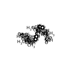 CC(C)OC(=O)C(C)NP(=O)(OC[C@@]1(F)O[C@@H](n2ccc(=O)[nH]c2=O)[C@](C)(F)[C@@H]1O)Oc1ccc2ccc(CC(NP(=O)(OC[C@@]3(F)OC(=Cn4ccc(=O)[nH]c4=O)[C@](C)(F)[C@@H]3O)Oc3cccc4ccccc34)C(=O)OC(C)C)cc2c1